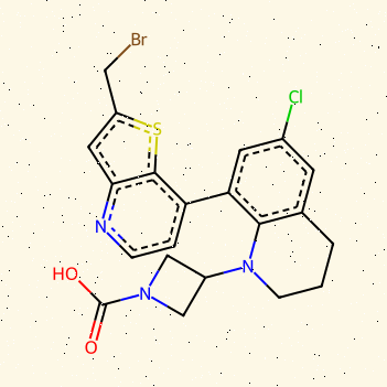 O=C(O)N1CC(N2CCCc3cc(Cl)cc(-c4ccnc5cc(CBr)sc45)c32)C1